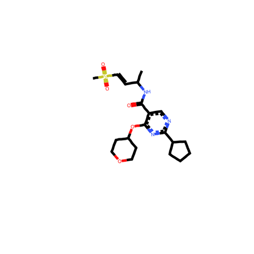 CC(C=CS(C)(=O)=O)NC(=O)c1cnc(C2CCCC2)nc1OC1CCOCC1